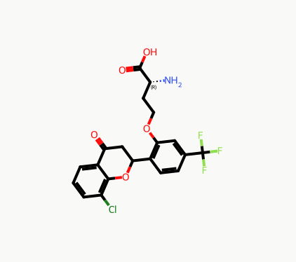 N[C@H](CCOc1cc(C(F)(F)F)ccc1C1CC(=O)c2cccc(Cl)c2O1)C(=O)O